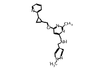 Cc1nc(NCc2cnn(C)c2)cc(OCC2CC2c2ccccn2)n1